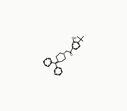 CC(C)(C)c1ccc(C(=O)CN2CCC(=C(c3ccccc3)c3ccccc3)CC2)cc1O